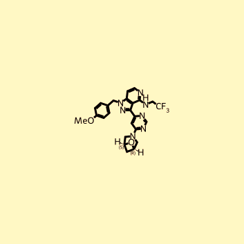 COc1ccc(Cn2nc(-c3cc(N4C[C@H]5C[C@@H](C4)O5)ncn3)c3c(NCC(F)(F)F)nccc32)cc1